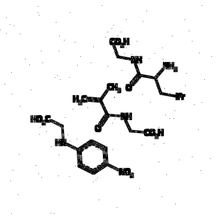 C=C(C)C(=O)NCC(=O)O.CC(C)CC(N)C(=O)NCC(=O)O.O=C(O)CNc1ccc([N+](=O)[O-])cc1